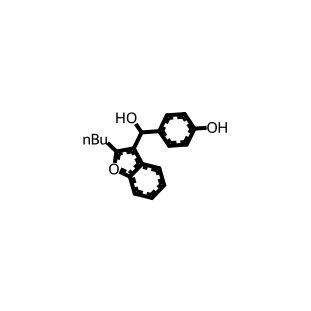 CCCCc1oc2ccccc2c1C(O)c1ccc(O)cc1